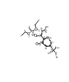 CCOP(=S)(OCC)OC(=NOC)c1ncc(C(F)(F)F)cc1Cl